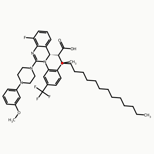 CCCCCCCCCCCCCCC(C(=O)O)[C@H]1c2cccc(F)c2N=C(N2CCN(c3cccc(OC)c3)CC2)N1c1cc(C(F)(F)F)ccc1OC